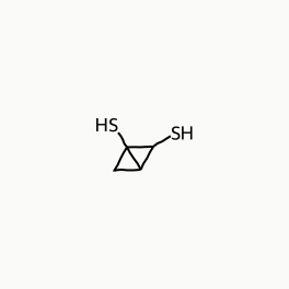 SC1C2CC12S